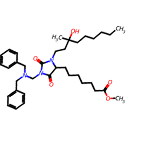 CCCCCCC(C)(O)CCN1C(=O)N(CN(Cc2ccccc2)Cc2ccccc2)C(=O)C1CCCCCCC(=O)OC